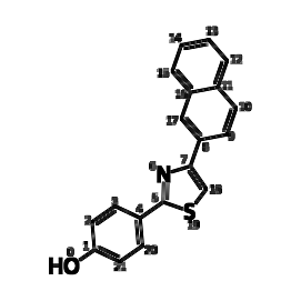 Oc1ccc(-c2nc(-c3ccc4ccccc4c3)cs2)cc1